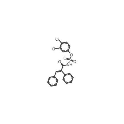 O=C(NS(=O)(=O)Oc1ccc(Cl)c(Cl)c1)C(=Cc1ccccc1)c1ccccc1